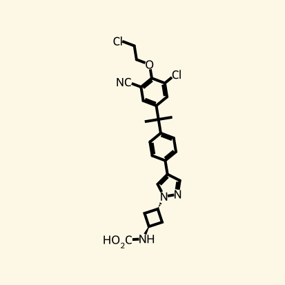 CC(C)(c1ccc(-c2cnn([C@H]3C[C@H](NC(=O)O)C3)c2)cc1)c1cc(Cl)c(OCCCl)c(C#N)c1